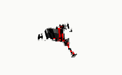 CCCCCCCCCCC[C@H]1CC[C@@H](C2CCC(c3ccc(Oc4cccc(N)c4)cc3)(c3ccc(Oc4cccc(N)c4)cc3)CC2)CC1